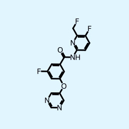 O=C(Nc1ccc(F)c(CF)n1)c1cc(F)cc(Oc2cncnc2)c1